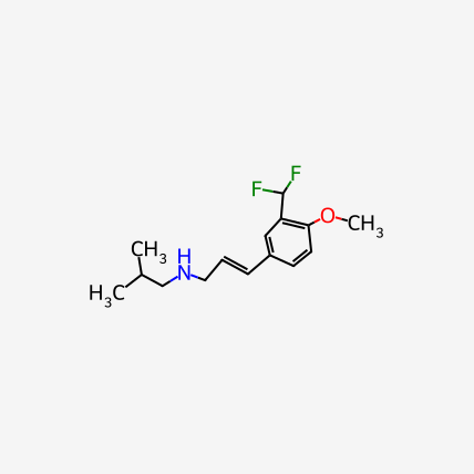 COc1ccc(C=CCNCC(C)C)cc1C(F)F